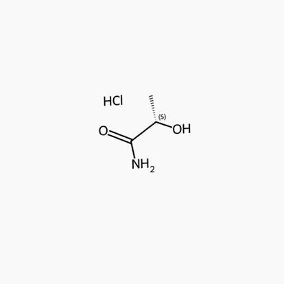 C[C@H](O)C(N)=O.Cl